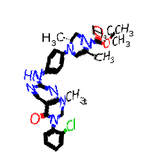 C[C@@H]1CN(C(=O)OC(C)(C)C)[C@@H](C)CN1c1ccc(Nc2ncc3c(n2)N(C)CN(c2ccccc2Cl)C3=O)cc1